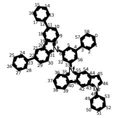 c1ccc(-c2cc(-n3c4ccc(-c5ccccc5)cc4c4cc(-c5ccccc5)ccc43)cc(-n3c4ccccc4c4cc5c(ccn5-c5ccccc5)cc43)c2)cc1